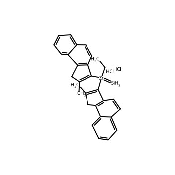 C[CH2][Zr](=[SiH2])([C]1=C(C)Cc2c1ccc1ccccc21)[C]1=C(C)Cc2c1ccc1ccccc21.Cl.Cl